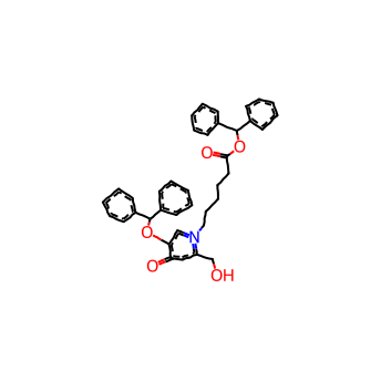 O=C(CCCCCn1cc(OC(c2ccccc2)c2ccccc2)c(=O)cc1CO)OC(c1ccccc1)c1ccccc1